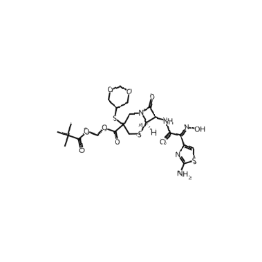 CC(C)(C)C(=O)OCOC(=O)C1(SC2COCOC2)CS[C@@H]2C(NC(=O)C(=NO)c3csc(N)n3)C(=O)N2C1